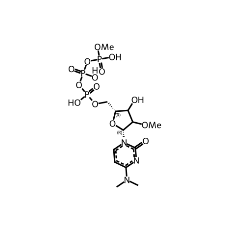 COC1C(O)[C@@H](COP(=O)(O)OP(=O)(O)OP(=O)(O)OC)O[C@H]1n1ccc(N(C)C)nc1=O